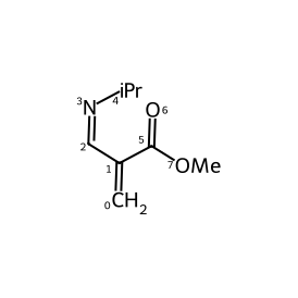 C=C(/C=N\C(C)C)C(=O)OC